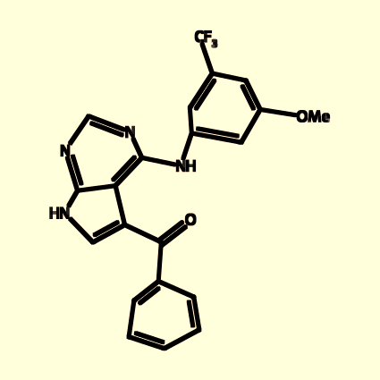 COc1cc(Nc2ncnc3[nH]cc(C(=O)c4ccccc4)c23)cc(C(F)(F)F)c1